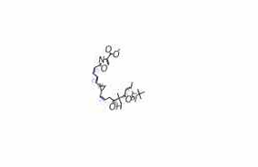 C/C=C/[C@H](O[Si](C)(C)C(C)(C)C)C(C)(C)[C@@H](O)C/C=C\C1C[C@@H]1/C=C/C=C\c1nc(C(=O)OC)co1